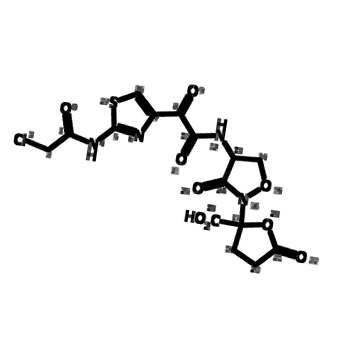 O=C(CCl)Nc1nc(C(=O)C(=O)NC2CON(C3(C(=O)O)CCC(=O)O3)C2=O)cs1